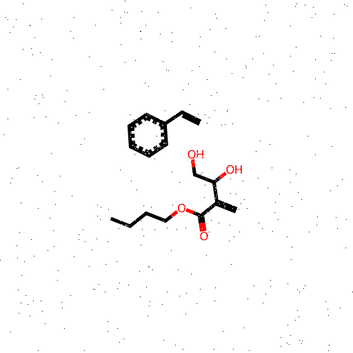 C=C(C(=O)OCCCC)C(O)CO.C=Cc1ccccc1